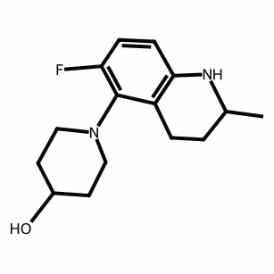 CC1CCc2c(ccc(F)c2N2CCC(O)CC2)N1